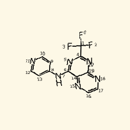 FC(F)(F)c1nc(Nc2ccncc2)c2nccnc2n1